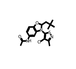 CC(=O)Nc1ccc2c(c1)N(c1snc(C)c1Cl)C(CC(C)(C)C)O2